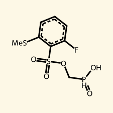 CSc1cccc(F)c1S(=O)(=O)OC[PH](=O)O